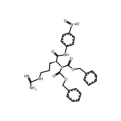 N=C(N)NCCC[C@@H](C(=O)Nc1ccc([N+](=O)[O-])cc1)N(C(=O)OCc1ccccc1)C(=O)OCc1ccccc1